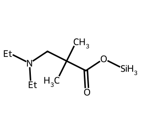 CCN(CC)CC(C)(C)C(=O)O[SiH3]